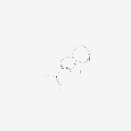 N#Cc1cccc2[nH]c(C(=O)N=O)cc12